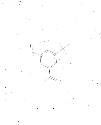 NC(=O)c1cc(N=O)cc(C(F)(F)F)c1